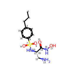 CCCc1ccc(S(=O)(=O)N[C@@H](CN)C(=O)NO)cc1